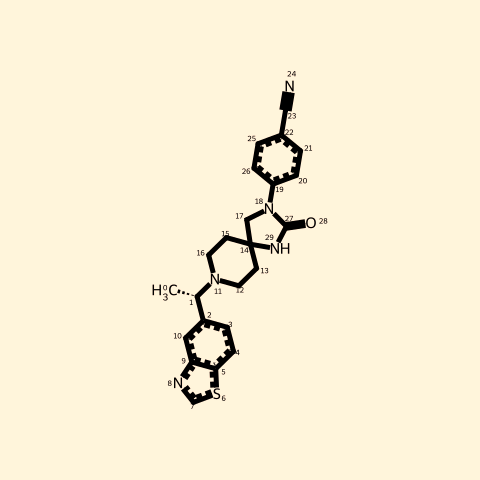 C[C@@H](c1ccc2scnc2c1)N1CCC2(CC1)CN(c1ccc(C#N)cc1)C(=O)N2